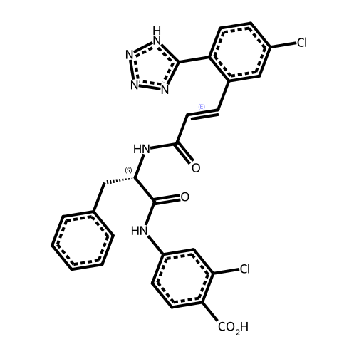 O=C(/C=C/c1cc(Cl)ccc1-c1nnn[nH]1)N[C@@H](Cc1ccccc1)C(=O)Nc1ccc(C(=O)O)c(Cl)c1